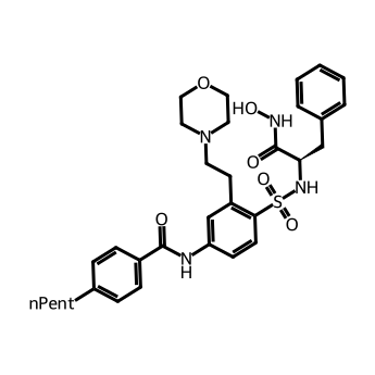 CCCCCc1ccc(C(=O)Nc2ccc(S(=O)(=O)N[C@H](Cc3ccccc3)C(=O)NO)c(CCN3CCOCC3)c2)cc1